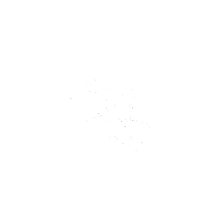 CC1CC(C)(C)CC(N=C=O)(N2CC(=N[Si](C)(C)C)N(C3(N=C=O)CC(C)CC(C)(C)C3)C2)C1